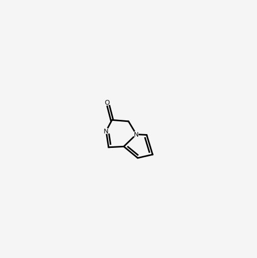 O=C1Cn2cccc2C=N1